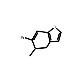 CC(C)C1=Cc2occc2CC1C